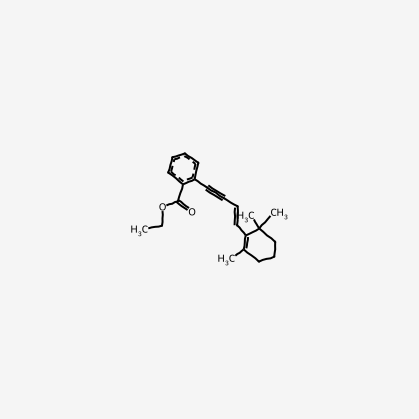 CCOC(=O)c1ccccc1C#CC=CC1=C(C)CCCC1(C)C